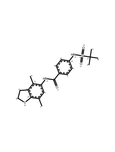 Cc1cc(NC(=O)c2ccc(NS(=O)(=O)C(C)(C)C)cc2)c(C)c2c1SCC2